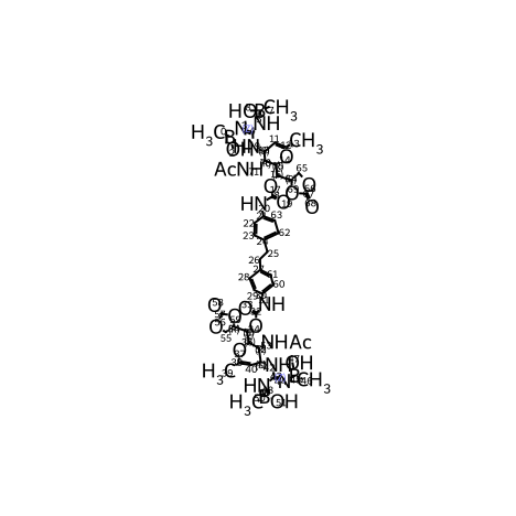 CB(O)/N=C(/NB(C)O)N[C@H]1C=C(C)O[C@@H]([C@H](OC(=O)Nc2ccc(CCc3ccc(NC(=O)O[C@@H]([C@@H]4OC(C)=C[C@H](N/C(=N\B(C)O)NB(C)O)[C@H]4NC(C)=O)[C@H]4COC(=O)O4)cc3)cc2)[C@H]2COC(=O)O2)[C@@H]1NC(C)=O